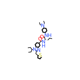 CCC[C@H](NC(=O)c1ccc2c(c1)nc(Cc1cccs1)n2C(CC)CC)C(=O)Nc1ccc(N(CC)CC)cc1